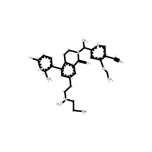 CCOc1cc(C(C)N2CCc3c(cc(CCN(C)CCO)cc3-c3ccc(F)nc3C)C2=O)ncc1C#N